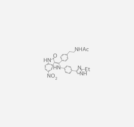 CCc1nc(-c2ccc(NC(=C3C(=O)Nc4ccc([N+](=O)[O-])cc43)c3ccc(CCNC(C)=O)cc3)cc2)c[nH]1